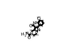 NC(=O)c1c(-c2cccc(Cl)c2)nn2c1CN(C(N)=O)CC2